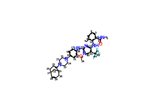 CNC(=O)c1cccc(C)c1Nc1nc(Nc2ccc(N3CCN(C4CCC5C=CCC4C5)CC3)cc2OC)ncc1C(F)(F)F